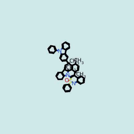 CC1C=CC2(C)C3=C(N4C5=C(C=CCC5)C5=CC(C)(c6ccc7c(c6)c6ccccc6n7-c6ccccc6)C1=C2C54C)S(=O)(c1c#cccc1)=Nc1ccccc13